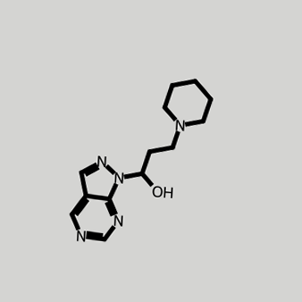 OC(CCN1CCCCC1)n1ncc2cncnc21